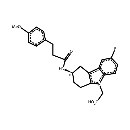 COc1ccc(CCC(=O)N[C@@H]2CCc3c(c4cc(F)ccc4n3CC(=O)O)C2)cc1